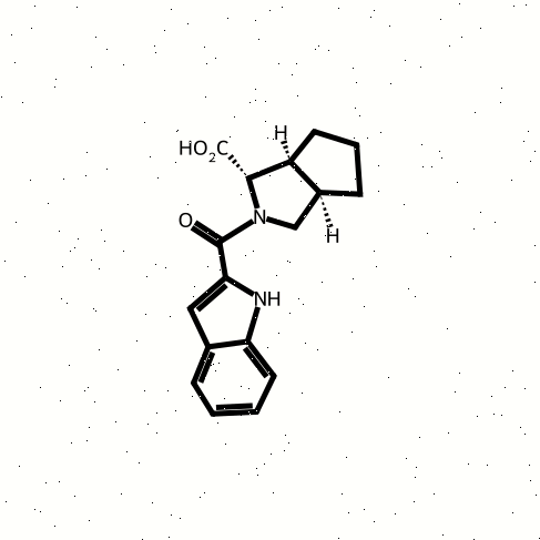 O=C(O)[C@@H]1[C@H]2CCC[C@H]2CN1C(=O)c1cc2ccccc2[nH]1